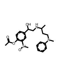 CC(=O)Oc1ccc(C(O)CNC(C)CCN(C)c2ccccc2)cc1[S+](C)[O-]